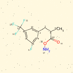 CC(Cc1cc(F)cc(C(F)(F)F)c1)C(=O)ON